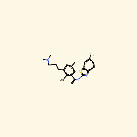 C=C(Nc1nc2ccc(C(F)(F)F)cc2s1)c1cc(C)cc(CCCN(C)C)c1N=O